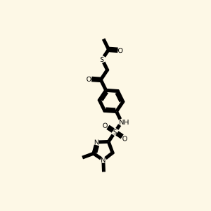 CC(=O)SCC(=O)c1ccc(NS(=O)(=O)C2CN(C)C(C)=N2)cc1